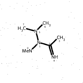 CNN(C(C)=N)N(C)C